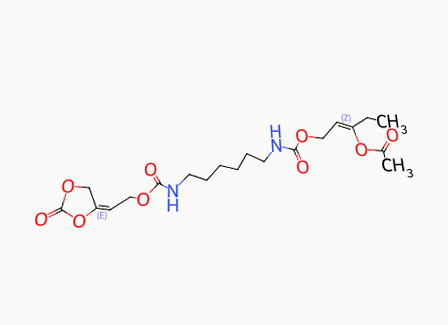 CC/C(=C/COC(=O)NCCCCCCNC(=O)OC/C=C1\COC(=O)O1)OC(C)=O